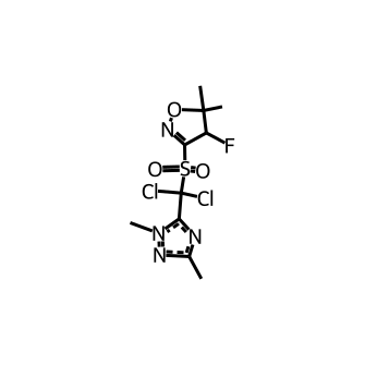 Cc1nc(C(Cl)(Cl)S(=O)(=O)C2=NOC(C)(C)C2F)n(C)n1